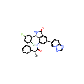 N#CC(C(=O)Nc1cc(-c2ccc3ncnn3c2)cc2c1C(c1cc(F)ccc1Cl)NC2=O)c1ccccc1